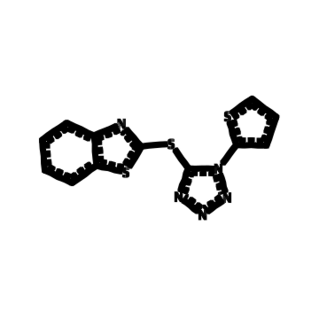 c1csc(-n2nnnc2Sc2nc3ccccc3s2)c1